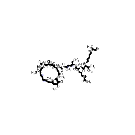 C=C/C(=C\C=C(/C)NC(=O)O[C@H]1CC(=O)N(C)c2cc(cc(OC)c2Cl)C/C(C)=C/C=C/[C@@H](OC)[C@@]2(O)C[C@H](OC(=O)N2)[C@@H](C)[C@@H]2O[C@@]12C)NC(=O)[C@H](CCCNC(N)=O)NC(=O)[C@@H](NCCCCCNC(=C)CBr)C(C)C